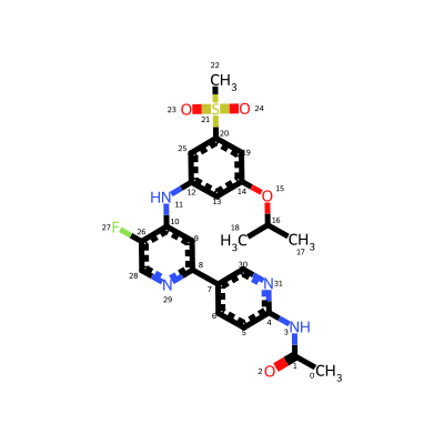 CC(=O)Nc1ccc(-c2cc(Nc3cc(OC(C)C)cc(S(C)(=O)=O)c3)c(F)cn2)cn1